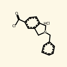 Cl.O=C(Cl)c1ccc2c(c1)CN(Cc1ccccc1)C2